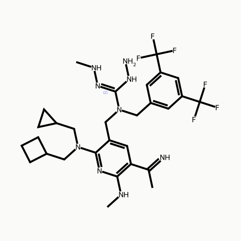 CN/N=C(\NN)N(Cc1cc(C(F)(F)F)cc(C(F)(F)F)c1)Cc1cc(C(C)=N)c(NC)nc1N(CC1CCC1)CC1CC1